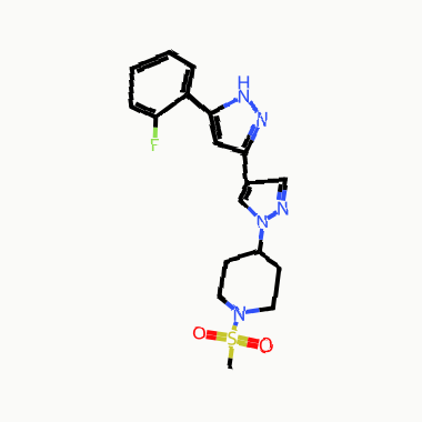 CS(=O)(=O)N1CCC(n2cc(-c3cc(-c4ccccc4F)[nH]n3)cn2)CC1